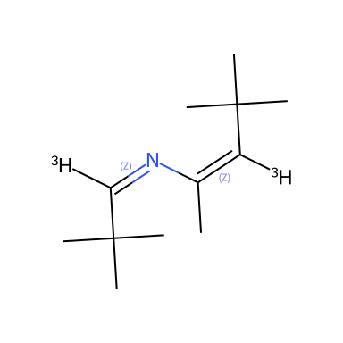 [3H]/C(=N/C(C)=C(/[3H])C(C)(C)C)C(C)(C)C